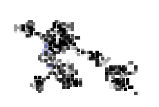 CC1(C)C(/C=C/C2=C(Oc3ccc(C[C@H](NC(=O)CCOCCOCCNC(=O)CCS(=O)(=O)c4c(F)c(F)c(S(N)(=O)=O)c(F)c4NC4CCCCCCC4)C(=O)O)cc3)C(=C/C=C3/N(CCCCS(=O)(=O)O)c4ccc(S(=O)(=O)O)cc4C3(C)C)/CCC2)=[N+](CCCCS(=O)(=O)[O-])c2ccc(S(=O)(=O)O)cc21